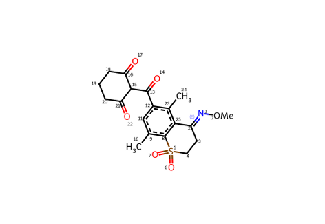 CO/N=C1\CCS(=O)(=O)c2c(C)cc(C(=O)C3C(=O)CCCC3=O)c(C)c21